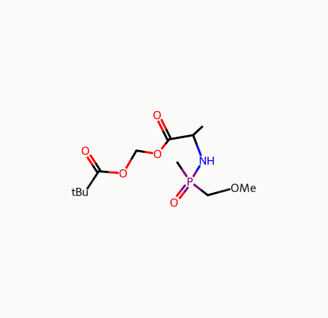 COCP(C)(=O)NC(C)C(=O)OCOC(=O)C(C)(C)C